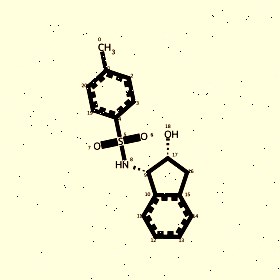 Cc1ccc(S(=O)(=O)N[C@H]2c3ccccc3C[C@H]2O)cc1